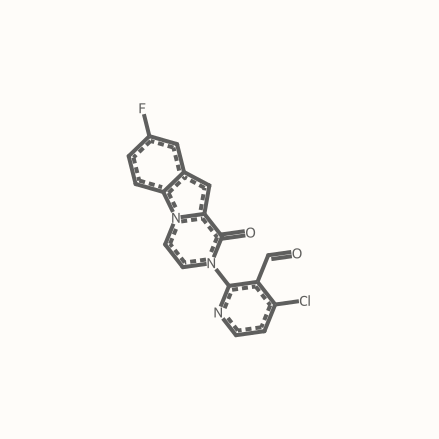 O=Cc1c(Cl)ccnc1-n1ccn2c(cc3cc(F)ccc32)c1=O